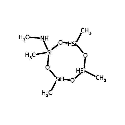 CN[Si]1(C)O[SiH](C)O[SiH](C)O[SiH](C)O1